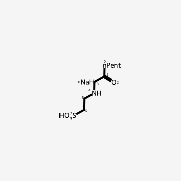 CCCCCC(=O)CNCCS(=O)(=O)O.[NaH]